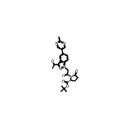 CC(=O)c1nn(CC(=O)N2C(=O)CC[C@H]2C(=O)OC(C)(C)C)c2ccc(-c3cnc(C)nc3)cc12